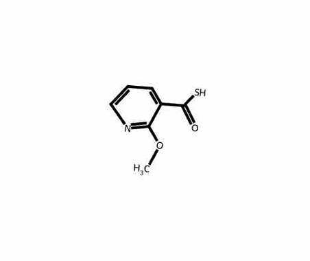 COc1ncccc1C(=O)S